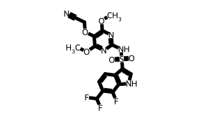 COc1nc(NS(=O)(=O)c2c[nH]c3c(F)c(C(F)F)ccc23)nc(OC)c1OCC#N